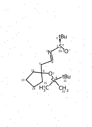 CC(C)(C)[S@@+]([O-])N=CCC1(O[Si](C)(C)C(C)(C)C)CCCC1